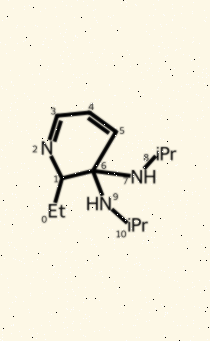 CCC1N=CC=CC1(NC(C)C)NC(C)C